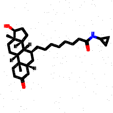 C[C@]12CCC(=O)C[C@@H]1C[C@H](CCCCCCCC(=O)NC1CC1)[C@@H]1[C@@H]2CC[C@]2(C)[C@@H](O)CC[C@@H]12